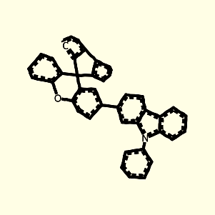 c1ccc(-n2c3ccccc3c3ccc(-c4ccc5c(c4)C4(c6ccccc6O5)c5ccccc5-c5ccccc54)cc32)cc1